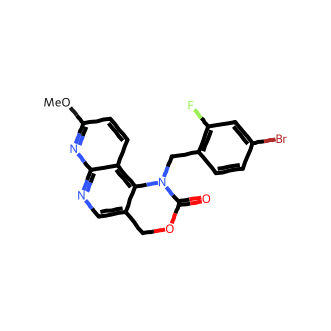 COc1ccc2c3c(cnc2n1)COC(=O)N3Cc1ccc(Br)cc1F